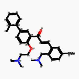 COc1ccc(CN(C)C)c(/C=C/C(=O)c2cc(-c3ccccc3C)ccc2OCCN(C)C)c1